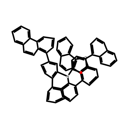 c1ccc(-c2ccc(-c3cccc4c3ccc3ccccc34)cc2N(c2ccc(-c3cccc4ccccc34)cc2)c2ccccc2-c2cccc3oc4c5ccccc5ccc4c23)cc1